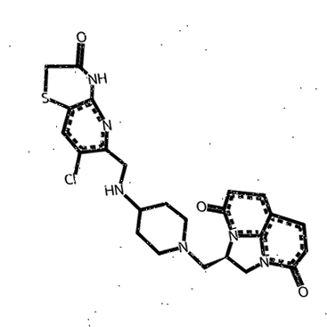 O=C1CSc2cc(Cl)c(CNC3CCN(C[C@@H]4Cn5c(=O)ccc6ccc(=O)n4c65)CC3)nc2N1